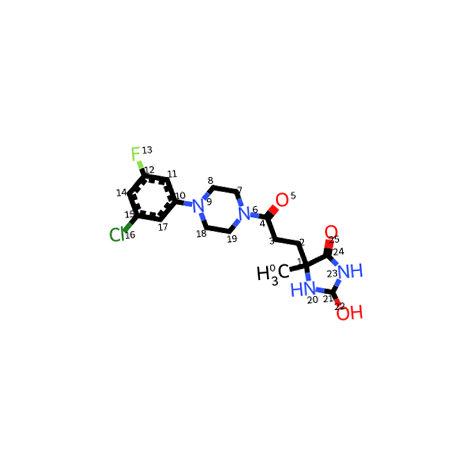 CC1(CCC(=O)N2CCN(c3cc(F)cc(Cl)c3)CC2)NC(O)NC1=O